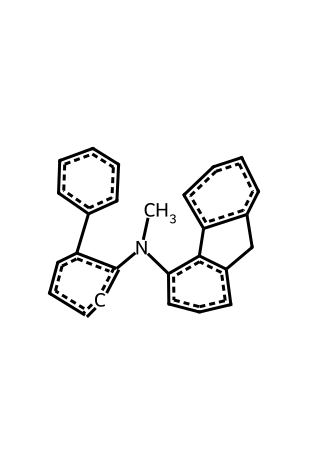 CN(c1ccccc1-c1ccccc1)c1cccc2c1-c1ccccc1C2